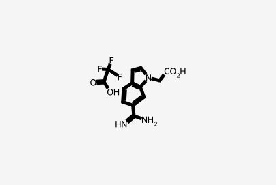 N=C(N)c1ccc2ccn(CC(=O)O)c2c1.O=C(O)C(F)(F)F